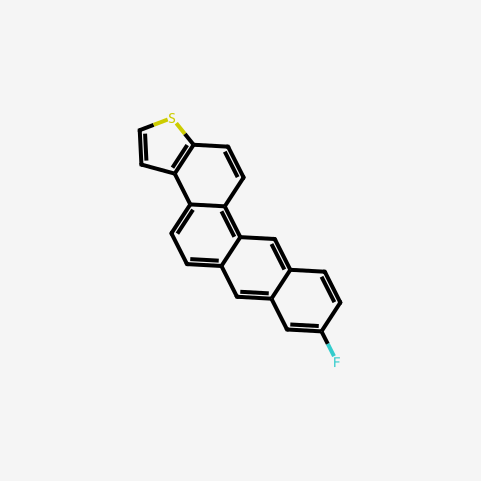 Fc1ccc2cc3c(ccc4c5ccsc5ccc34)cc2c1